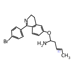 C/C=C/CC(N)Oc1ccc2c(c1)CCN=C2c1ccc(Br)cc1